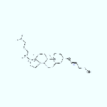 CC(C)CCC[C@@H](C)[C@H]1CCC2C3CCC4CC(O/C=C/CCO)CC[C@]4(C)C3CC[C@@]21C